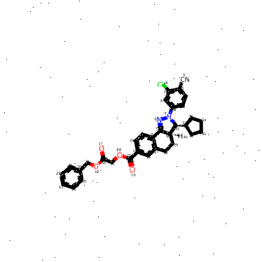 N#Cc1ccc(N2N=C3c4ccc(C(=O)OCC(=O)OCc5ccccc5)cc4CC[C@@H]3[C@@H]2C2CCCC2)cc1Cl